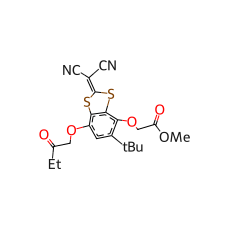 CCC(=O)COc1cc(C(C)(C)C)c(OCC(=O)OC)c2c1SC(=C(C#N)C#N)S2